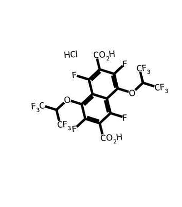 Cl.O=C(O)c1c(F)c(OC(C(F)(F)F)C(F)(F)F)c2c(F)c(C(=O)O)c(F)c(OC(C(F)(F)F)C(F)(F)F)c2c1F